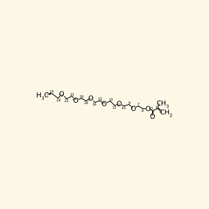 C=C(C)C(=O)OCCOCCOCCOCCOCCOCCOCCC